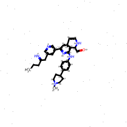 CCCC(=N)Cc1cncc(-c2cc3c(c(Nc4ccc(C5CCN(C)CC5)cc4)n2)C(C=O)NC=C3)c1